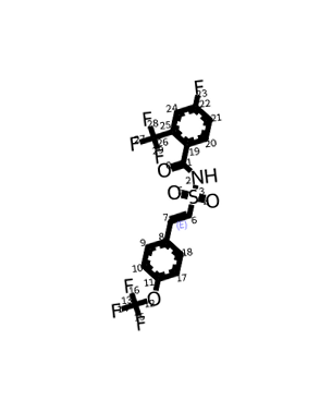 O=C(NS(=O)(=O)/C=C/c1ccc(OC(F)(F)F)cc1)c1ccc(F)cc1C(F)(F)F